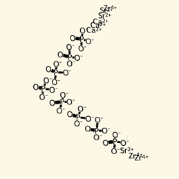 O=P([O-])([O-])[O-].O=P([O-])([O-])[O-].O=P([O-])([O-])[O-].O=P([O-])([O-])[O-].O=P([O-])([O-])[O-].O=P([O-])([O-])[O-].O=P([O-])([O-])[O-].O=P([O-])([O-])[O-].[Ca+2].[Ca+2].[Ca+2].[Sr+2].[Sr+2].[Sr+2].[Zr+4].[Zr+4].[Zr+4]